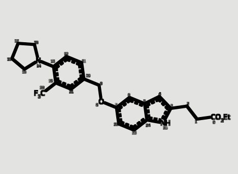 CCOC(=O)CCc1cc2cc(OCc3ccc(N4CCCC4)c(C(F)(F)F)c3)ccc2[nH]1